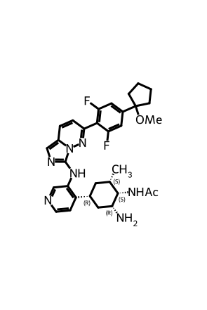 COC1(c2cc(F)c(-c3ccc4cnc(Nc5cnccc5[C@H]5C[C@@H](N)[C@@H](NC(C)=O)[C@@H](C)C5)n4n3)c(F)c2)CCCC1